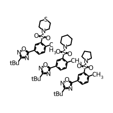 Cc1ccc(-c2nc(C(C)(C)C)no2)cc1S(=O)(=O)N1CCCC1.Cc1ccc(-c2nc(C(C)(C)C)no2)cc1S(=O)(=O)N1CCCCC1.Cc1ccc(-c2nc(C(C)(C)C)no2)cc1S(=O)(=O)N1CCSCC1